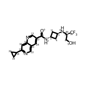 O=C(N[C@H]1C[C@H](N[C@H](CO)C(F)(F)F)C1)c1cnc2cc(C3CC3)ncc2c1